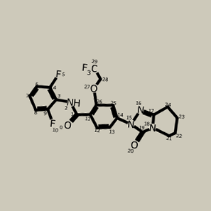 O=C(Nc1c(F)cccc1F)c1ccc(-n2nc3n(c2=O)CCCC3)cc1OCC(F)(F)F